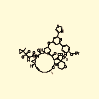 CC[C@@H]1O[C@H](C)CC/C=C\[C@@H]2C[C@@]2(C(=O)NS(=O)(=O)C2(C)CC2)NC(=O)[C@@H]2C[C@@H](Oc3cc(-c4ccc(OC(C)C)cc4)nc(-c4cscn4)c3)CN2C(=O)[C@H]1N(C(=O)O)C1(C(F)(F)F)CCCOC1